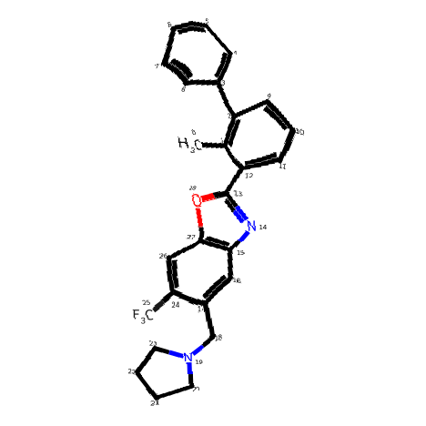 Cc1c(-c2ccccc2)cccc1-c1nc2cc(CN3CCCC3)c(C(F)(F)F)cc2o1